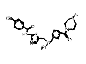 CC(=O)N1CCN(C(=O)c2cccc(CN(Cc3cnc(NC(=O)c4ccc(C(C)(C)C)cc4)s3)C(C)C)c2)CC1